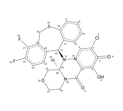 O=C1c2c(O)c(=O)c(Cl)cn2N([C@@H]2c3ccccc3SCc3c2ccc(F)c3F)[C@@H]2COCCN12